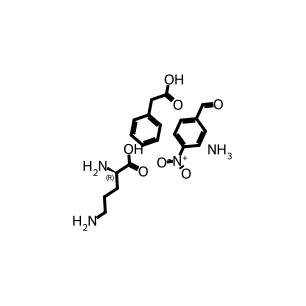 N.NCCC[C@@H](N)C(=O)O.O=C(O)Cc1ccccc1.O=Cc1ccc([N+](=O)[O-])cc1